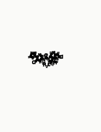 C=C[C@@]1(C(F)(F)F)CN(C(=O)Nc2cnc(-n3cccn3)c(Cl)c2)c2cnc3cc(Cl)nn3c21